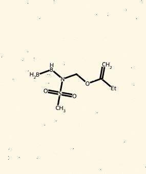 BBN(COC(=C)CC)S(C)(=O)=O